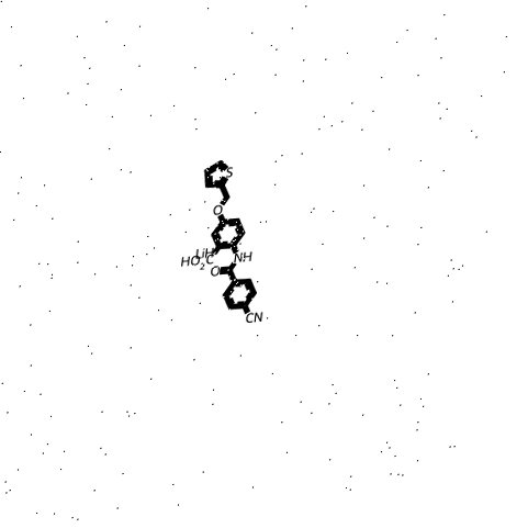 N#Cc1ccc(C(=O)Nc2ccc(OCc3cccs3)cc2C(=O)O)cc1.[LiH]